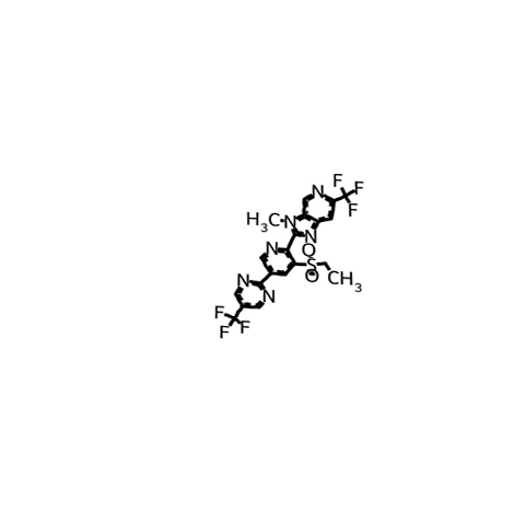 CCS(=O)(=O)c1cc(-c2ncc(C(F)(F)F)cn2)cnc1-c1nc2cc(C(F)(F)F)ncc2n1C